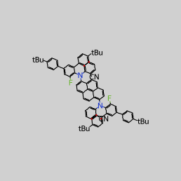 CC(C)(C)c1ccc(-c2cc(F)c(N(c3ccccc3C#N)c3ccc4ccc5c(N(c6ccccc6C#N)c6c(F)cc(-c7ccc(C(C)(C)C)cc7)cc6-c6ccc(C(C)(C)C)cc6)ccc6ccc3c4c65)c(-c3ccc(C(C)(C)C)cc3)c2)cc1